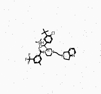 Cc1cc(C(=S)N2CCN(CCN3CCc4ncccc4C3)C[C@@H]2C(O[SiH](C)C)c2ccc(Cl)c(C(C)(C)C)c2)cc(C(F)(F)F)c1